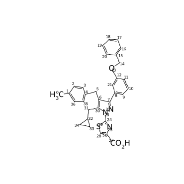 Cc1ccc(Cc2c(-c3cccc(OCc4ccccc4)c3)nn(-c3nc(C(=O)O)cs3)c2CC2CC2)cc1